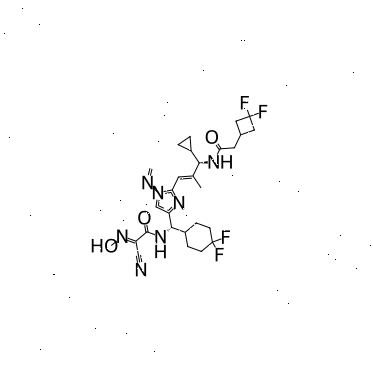 C=Nn1cc([C@@H](NC(=O)/C(C#N)=N/O)C2CCC(F)(F)CC2)nc1/C=C(\C)[C@H](NC(=O)CC1CC(F)(F)C1)C1CC1